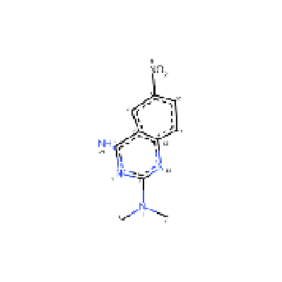 CN(C)c1ncc2cc([N+](=O)[O-])ccc2n1.N